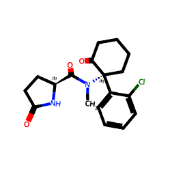 CN(C(=O)[C@@H]1CCC(=O)N1)[C@@]1(c2ccccc2Cl)CCCCC1=O